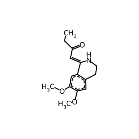 CCC(=O)/C=C1\NCCc2cc(OC)c(OC)cc21